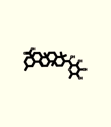 CC1CCC2(C(=O)O)CCC3C(=CCC4C3(C)CCC3C(C)(C)C([C@H](O)C5OC(C)C(O)C(O)C5O)CCC34C)C2C1